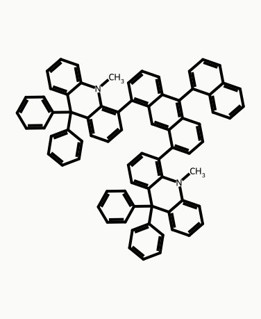 CN1c2ccccc2C(c2ccccc2)(c2ccccc2)c2cccc(-c3cccc4c(-c5cccc6ccccc56)c5cccc(-c6cccc7c6N(C)c6ccccc6C7(c6ccccc6)c6ccccc6)c5cc34)c21